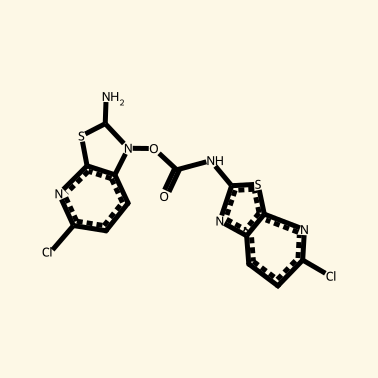 NC1Sc2nc(Cl)ccc2N1OC(=O)Nc1nc2ccc(Cl)nc2s1